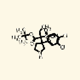 CCC(C(=O)OC(C)(C)C)(C1(c2ccc(Cl)c(Cl)c2)CCNC1)S(=O)(=O)O